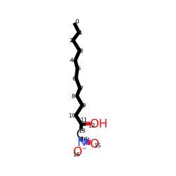 CCCCCCCCCCCC(O)C[N+](=O)[O-]